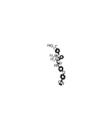 CN(CC(=O)Nc1ccc(Oc2ccc(-c3ncco3)cc2)cc1)CC1(CN(C)Cc2ccc(C(=O)O)cc2)CCCC1